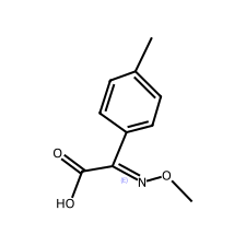 CO/N=C(/C(=O)O)c1ccc(C)cc1